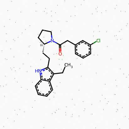 CCc1c(CC[C@@H]2CCCN2C(=O)Cc2cccc(Cl)c2)[nH]c2ccccc12